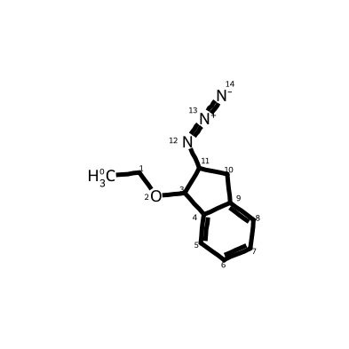 CCOC1c2ccccc2CC1N=[N+]=[N-]